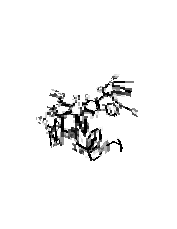 CC(=O)c1sccc1-c1ccc(C2=N[C@@H](CC(=O)O)c3nnc(C)n3-c3sc(C)c(C)c32)cc1